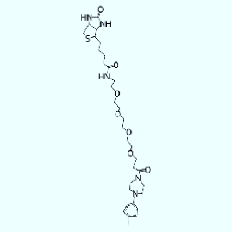 Cc1ccc(N2CCN(C(=O)CCOCCOCCOCCOCCNC(=O)CCCCC3SCC4NC(=O)NC43)CC2)cc1